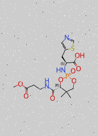 COC(=O)CCNC(=O)[C@@H]1OP(=O)(N[C@@H](Cc2cncs2)C(=O)O)OCC1(C)C